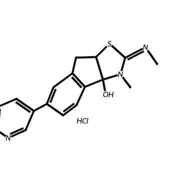 CN=C1SC2Cc3cc(-c4cccnc4)ccc3C2(O)N1C.Cl